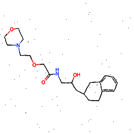 O=C(COCCN1CCOCC1)NCC(O)CC1CCc2ccccc2C1